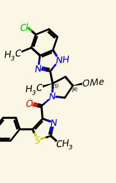 CO[C@H]1CN(C(=O)c2nc(C)sc2-c2cccc(Cl)c2)[C@](C)(c2nc3c(C)c(Cl)ccc3[nH]2)C1